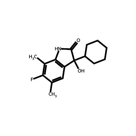 Cc1cc2c(c(C)c1F)NC(=O)C2(O)C1CCCCC1